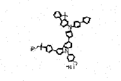 CC(C)CC(C)(C)c1ccc(-c2ccc3c(c2)c2cc(-c4ccc(N(c5ccc(-c6ccccc6)cc5)c5ccc6c(c5)C(C)(C)c5ccccc5-6)cc4)ccc2n3-c2ccc(OC(C)(C)C)cc2)cc1